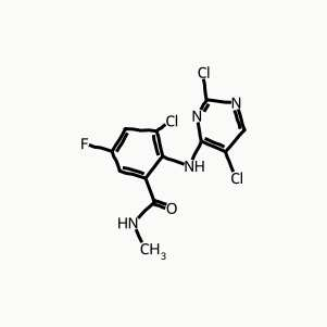 CNC(=O)c1cc(F)cc(Cl)c1Nc1nc(Cl)ncc1Cl